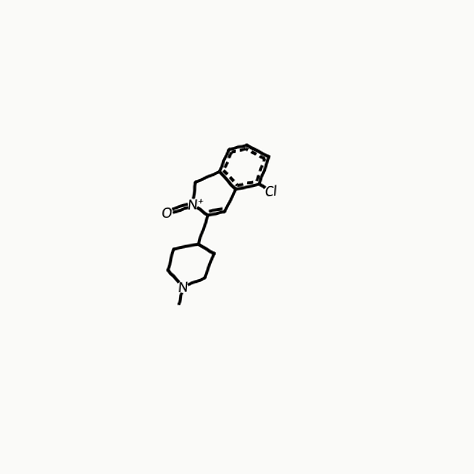 CN1CCC(C2=Cc3c(Cl)cccc3C[N+]2=O)CC1